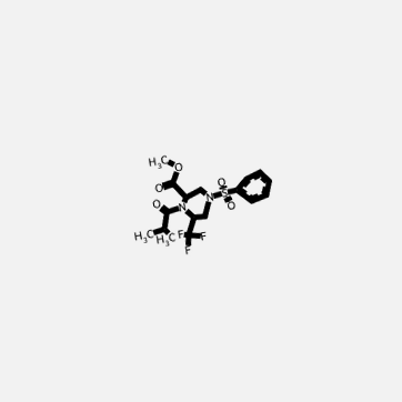 COC(=O)C1CN(S(=O)(=O)c2ccccc2)CC(C(F)(F)F)N1C(=O)C(C)C